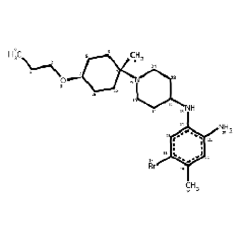 CCCO[C@H]1CC[C@](C)(N2CCC(Nc3cc(Br)c(C)cc3N)CC2)CC1